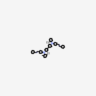 CCc1ccccc1N(c1ccc(/C=C/c2ccccc2)cc1)c1ccc(-c2ccc(N(c3ccc(/C=C/c4ccccc4)cc3)c3c(C)cccc3CC)cc2)cc1